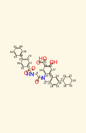 Cc1cc(S(=O)(=O)NCC(=O)N(Cc2ccc(C3CCCCC3)cc2)c2ccc(O)c(C(=O)O)c2)ccc1-c1ccccc1